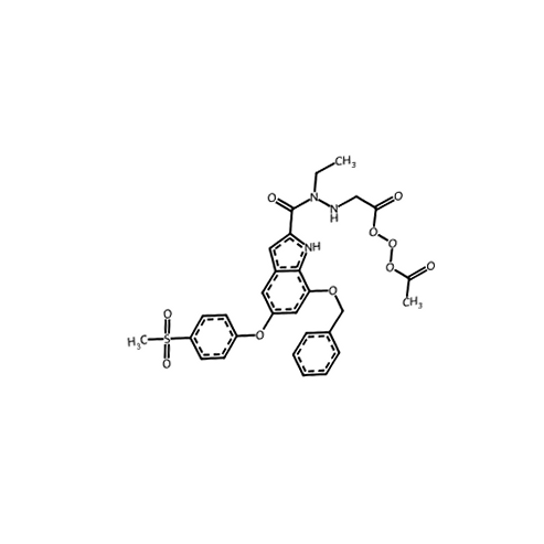 CCN(NCC(=O)OOOC(C)=O)C(=O)c1cc2cc(Oc3ccc(S(C)(=O)=O)cc3)cc(OCc3ccccc3)c2[nH]1